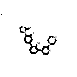 O=C1NCCN1c1ccc(-c2cccc(-c3ccnc(N4CCNCC4)c3)c2O)cc1Cl